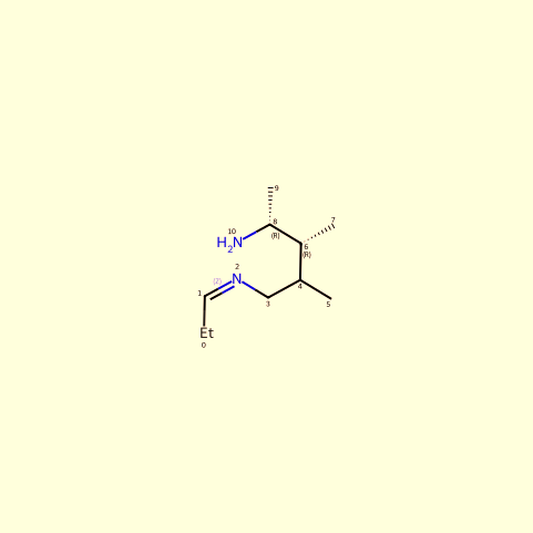 CC/C=N\CC(C)[C@@H](C)[C@@H](C)N